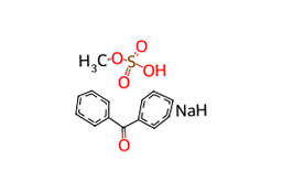 COS(=O)(=O)O.O=C(c1ccccc1)c1ccccc1.[NaH]